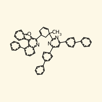 CC1(c2nc(-c3ccc(-c4ccccc4)cc3)cc(-c3ccc(-c4ccccc4)cc3)n2)C=CC=C(c2nc3cccc(-c4ccccc4)c3c3c2oc2ccccc23)C1